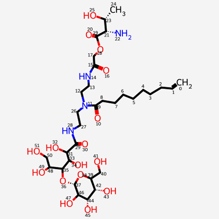 C=CCCCCCCCC(=O)N(CCNC(=O)COC(=O)[C@@H](N)[C@@H](C)O)CCNC(=O)C(O)C(O)C(O[C@@H]1OC(CO)[C@H](O)[C@H](O)C1O)C(O)CO